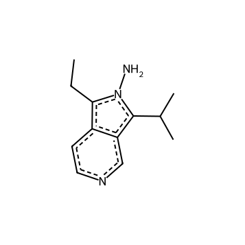 CCc1c2ccncc2c(C(C)C)n1N